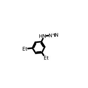 CCc1cc(CC)cc(N[N+]#N)c1